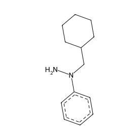 NN(CC1CCCCC1)c1ccccc1